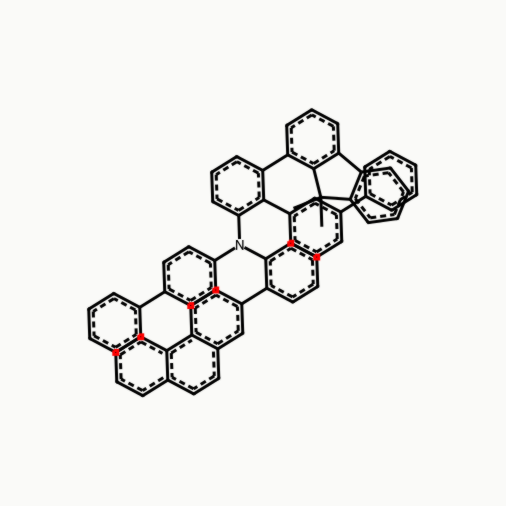 CC1(C)c2ccccc2-c2cccc(-c3cccc(N(c4ccc(-c5ccccc5)cc4)c4ccccc4-c4ccc5c(ccc6ccccc65)c4)c3-c3cccc(-c4ccccc4)c3)c21